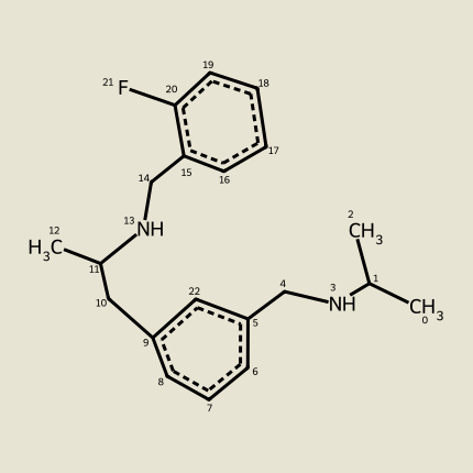 CC(C)NCc1cccc(CC(C)NCc2ccccc2F)c1